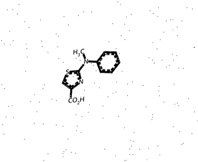 CN(c1ccccc1)c1nc(C(=O)O)cs1